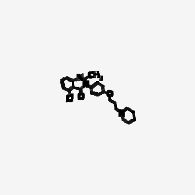 Cc1nc2cccc(Cl)c2c(=O)n1-c1ccc(OCCCN2CCCCC2)cc1